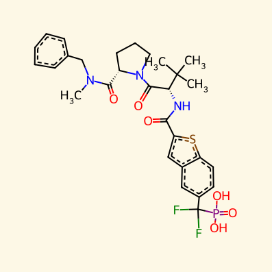 CN(Cc1ccccc1)C(=O)[C@@H]1CCCN1C(=O)[C@@H](NC(=O)c1cc2cc(C(F)(F)P(=O)(O)O)ccc2s1)C(C)(C)C